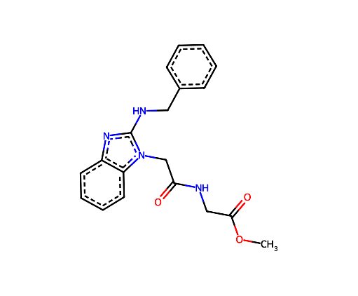 COC(=O)CNC(=O)Cn1c(NCc2ccccc2)nc2ccccc21